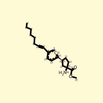 CCCCCCC#Cc1ccc([C@H]2CCC(N)(C(=O)OC)C2)cc1